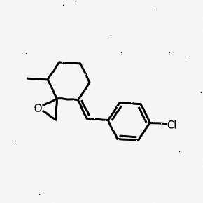 CC1CCCC(=Cc2ccc(Cl)cc2)C12CO2